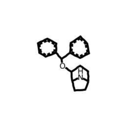 c1ccc(C(OC2CCC3CCC2N3)c2ccccc2)cc1